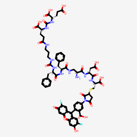 N[C@@H](CNC(=O)[C@H](Cc1ccccc1)NC(=O)[C@H](Cc1ccccc1)NC(=O)NCCCNC(=O)CC[C@H](NC(=O)N[C@@H](CCC(=O)O)C(=O)O)C(=O)O)C(=O)N[C@@H](CC(=O)O)C(=O)N[C@@H](CSC1CC(=O)N(c2ccc(-c3c4cc(F)c(=O)cc-4oc4cc(O)c(F)cc34)c(C(=O)O)c2)C1=O)C(=O)O